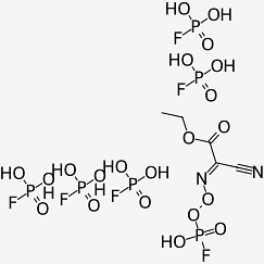 CCOC(=O)C(C#N)=NOOP(=O)(O)F.O=P(O)(O)F.O=P(O)(O)F.O=P(O)(O)F.O=P(O)(O)F.O=P(O)(O)F